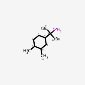 CC1CCC(C(P)(C(C)(C)C)C(C)(C)C)CC1C